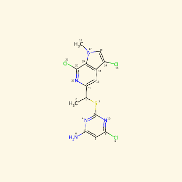 CC(Sc1nc(N)cc(Cl)n1)c1cc2c(Cl)cn(C)c2c(Cl)n1